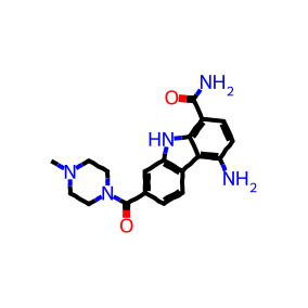 CN1CCN(C(=O)c2ccc3c(c2)[nH]c2c(C(N)=O)ccc(N)c23)CC1